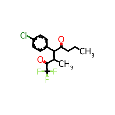 CCCC(=O)C(c1ccc(Cl)cc1)C(C)C(=O)C(F)(F)F